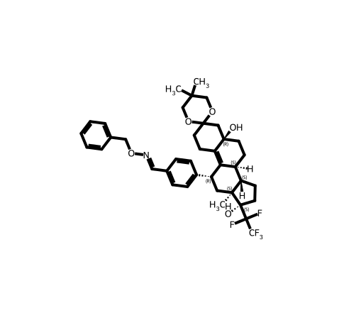 CC1(C)COC2(CCC3=C4[C@@H](CC[C@@]3(O)C2)[C@@H]2CC[C@@](O)(C(F)(F)C(F)(F)F)[C@@]2(C)C[C@@H]4c2ccc(C=NOCc3ccccc3)cc2)OC1